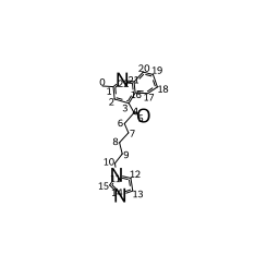 Cc1cc(C(=O)CCCCCn2ccnc2)c2ccccc2n1